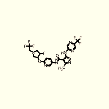 Cc1nsc(Nc2cnc(C(F)(F)F)cn2)c1C(=O)Nc1ccc(OC2CN(CC(F)(F)F)CC2F)nc1